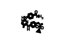 Cc1cnc(Nc2ccc(C(N)=O)cc2)nc1Nc1ccc(CN(C)S(=O)(=O)C2CC2)cc1